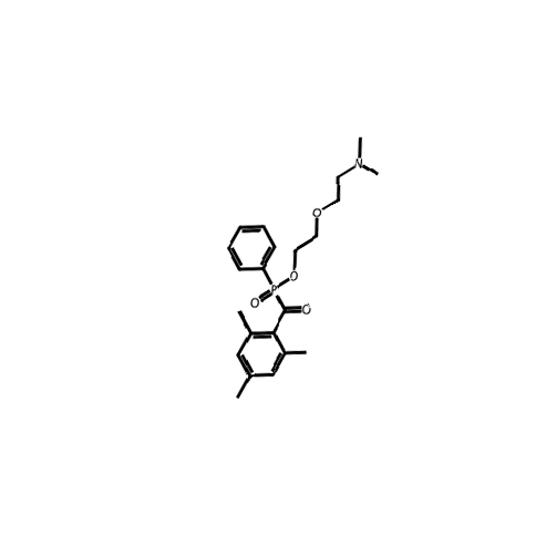 Cc1cc(C)c(C(=O)P(=O)(OCCOCCN(C)C)c2ccccc2)c(C)c1